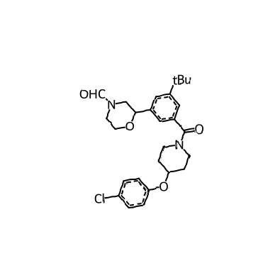 CC(C)(C)c1cc(C(=O)N2CCC(Oc3ccc(Cl)cc3)CC2)cc(C2CN(C=O)CCO2)c1